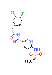 C=CS(=O)(=O)Nc1ccc(-c2noc(Cc3ccc(Cl)c(Cl)c3)n2)cn1